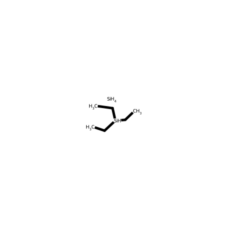 CC[SiH](CC)CC.[SiH4]